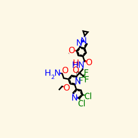 CCOc1c(CC(N)=O)cc([C@@](O)(CNC(=O)c2cc(OC)c3nn(C4CC4)cc3c2)C(F)(F)F)nc1-c1cnc(Cl)c(Cl)c1